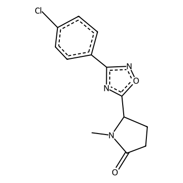 CN1C(=O)CCC1c1nc(-c2ccc(Cl)cc2)no1